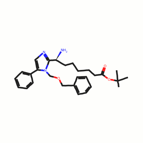 CC(C)(C)OC(=O)CCCCC[C@H](N)c1ncc(-c2ccccc2)n1COCc1ccccc1